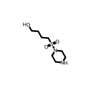 O=S(=O)(CCCCO)N1CCNCC1